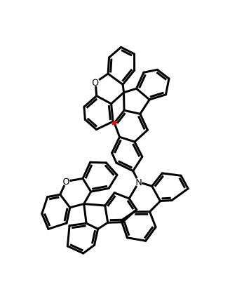 c1ccc(-c2ccccc2N(c2ccc3c(c2)C2(c4ccccc4Oc4ccccc42)c2ccccc2-3)c2ccc3cc4c(cc3c2)-c2ccccc2C42c3ccccc3Oc3ccccc32)cc1